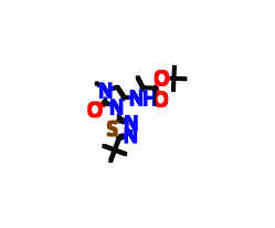 CC(NC1CN(C)C(=O)N1c1nnc(C(C)(C)C)s1)C(=O)OC(C)(C)C